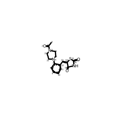 CC(=O)N1CCN(c2ccccc2C=C2SC(=O)NC2=O)CC1